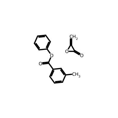 C=C1OC1=O.Cc1cccc(C(=O)Oc2ccccc2)c1